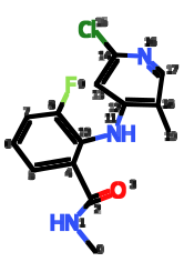 CNC(=O)c1cccc(F)c1Nc1cc(Cl)ncc1C